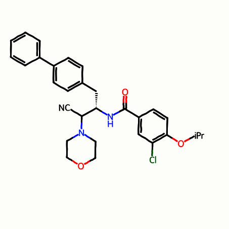 CC(C)Oc1ccc(C(=O)N[C@@H](Cc2ccc(-c3ccccc3)cc2)C(C#N)N2CCOCC2)cc1Cl